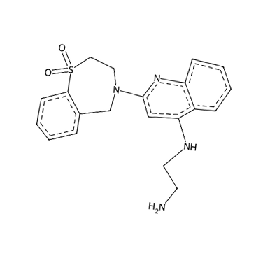 NCCNc1cc(N2CCS(=O)(=O)c3ccccc3C2)nc2ccccc12